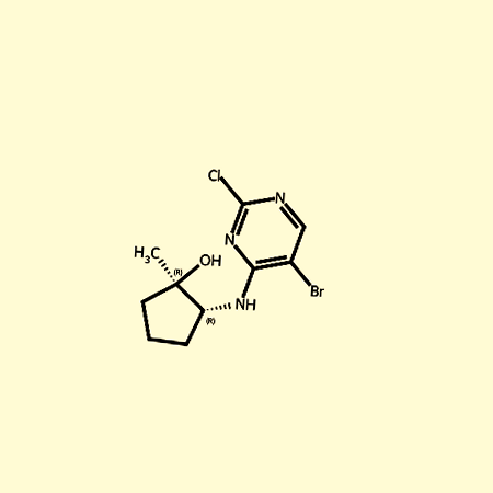 C[C@@]1(O)CCC[C@H]1Nc1nc(Cl)ncc1Br